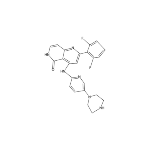 O=c1[nH]ccc2nc(-c3c(F)cccc3F)cc(Nc3ccc(N4CCNCC4)cn3)c12